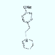 COc1ccc(CC[C@H]2C=CCCC2)cc1